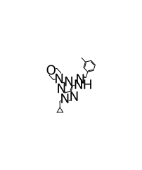 Cc1cccc(C=NNc2nc(N3CCOCC3)nc3c2ncn3CC2CC2)c1